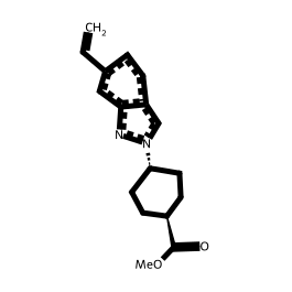 C=Cc1ccc2cn([C@H]3CC[C@H](C(=O)OC)CC3)nc2c1